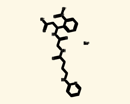 O=C([O-])CC(NC(=O)CNC(=O)CCCNc1ccccn1)c1ccccc1[N+](=O)[O-].[Na+]